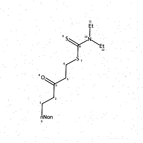 CCCCCCCCCCCC(=O)CCSC(=S)N(CC)CC